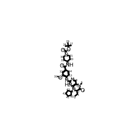 CCC1C(=O)N(C)c2cnc(Nc3ccc(C(=O)NC4CCN(C(=O)OC(C)(C)C)CC4)cc3OC)nc2N1C1CCCC1